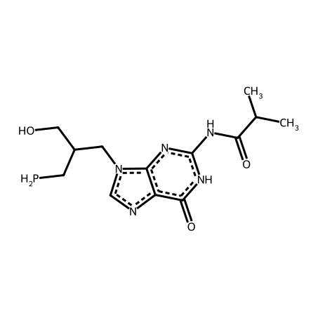 CC(C)C(=O)Nc1nc2c(ncn2CC(CO)CP)c(=O)[nH]1